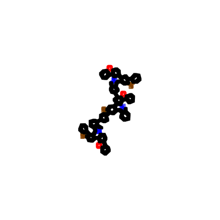 c1ccc2c(c1)cn1c2c2cc3c(cc2c2cc(-c4ccc5cn6c(c5c4)c4cc5sc7ccccc7c5cc4c4ccc5oc7ccccc7c5c46)c4oc5ccccc5c4c21)sc1cc(-c2cccc4c2cn2c5ccc6c7ccccc7oc6c5c5ccc6sc7ccccc7c6c5c42)ccc13